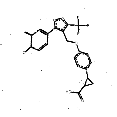 CC1C=C(c2nsc(C(F)(F)F)c2COc2ccc(C3CC3C(=O)O)cc2)C=CC1Cl